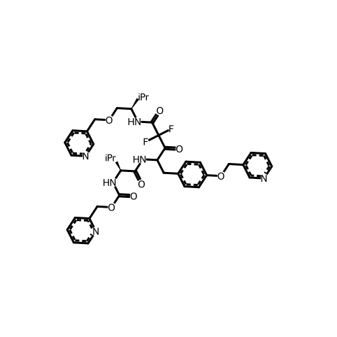 CC(C)[C@H](COCc1cccnc1)NC(=O)C(F)(F)C(=O)C(Cc1ccc(OCc2cccnc2)cc1)NC(=O)[C@@H](NC(=O)OCc1ccccn1)C(C)C